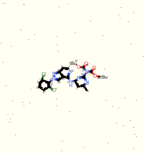 Cc1cc(Nc2nccc3nn(-c4c(Cl)cccc4Cl)cc23)nc(N(C(=O)OC(C)(C)C)C(=O)OC(C)(C)C)n1